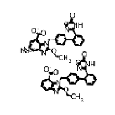 CCOc1nc2cccc(C(=O)[O-])c2n1Cc1ccc(-c2ccccc2-c2noc(=O)[nH]2)cc1.CCOc1nc2cccc(C(=O)[O-])c2n1Cc1ccc(-c2ccccc2-c2noc(=O)[nH]2)cc1.[Na+].[Na+]